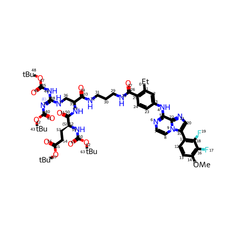 CCc1cc(Nc2nccn3c(-c4ccc(OC)c(F)c4F)cnc23)ccc1C(=O)NCCCNC(=O)C(CN/C(=N\C(=O)OC(C)(C)C)NC(=O)OC(C)(C)C)NC(=O)[C@H](CCC(=O)OC(C)(C)C)NC(=O)OC(C)(C)C